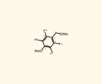 COCc1c(F)c(F)c(OC)c(F)c1F